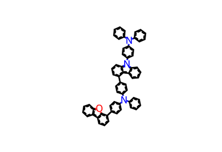 c1ccc(N(c2ccc(-c3cccc4c3oc3ccccc34)cc2)c2ccc(-c3cccc4c3c3ccccc3n4-c3ccc(N(c4ccccc4)c4ccccc4)cc3)cc2)cc1